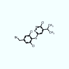 CC(C)c1cc(Sc2c(Cl)cc(CBr)cc2Cl)nnc1Cl